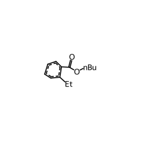 [CH2]Cc1ccccc1C(=O)OCCCC